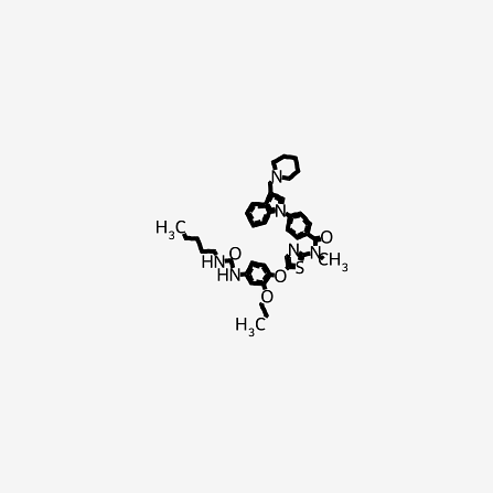 CCCCCNC(=O)Nc1ccc(Oc2cnc(N(C)C(=O)c3ccc(-n4cc(CN5CCCCC5)c5ccccc54)cc3)s2)c(OCCC)c1